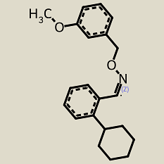 COc1cccc(CO/N=[C]\c2ccccc2C2CCCCC2)c1